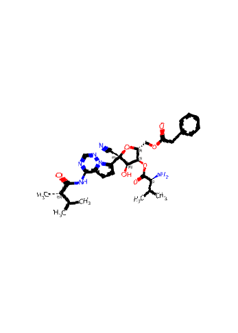 CC(C)[C@H](C)C(=O)Nc1ncnn2c([C@]3(C#N)O[C@H](COC(=O)Cc4ccccc4)[C@@H](OC(=O)[C@@H](N)C(C)C)[C@H]3O)ccc12